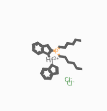 CCCCCCP(CCCCCC)C1=Cc2ccccc2[CH]1[Hf+2][CH]1C=Cc2ccccc21.[Cl-].[Cl-]